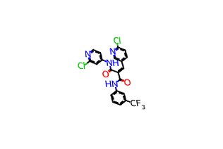 O=C(Nc1cccc(C(F)(F)F)c1)/C(=C/c1ccc(Cl)nc1)C(=O)Nc1ccnc(Cl)c1